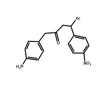 CC(=O)C(CC(=O)Cc1ccc(N)cc1)c1ccc([N+](=O)[O-])cc1